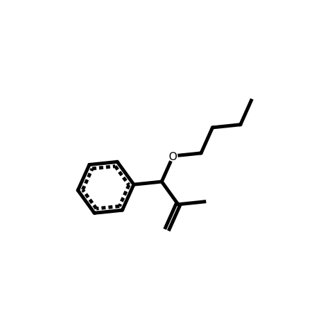 C=C(C)C(OCCCC)c1ccccc1